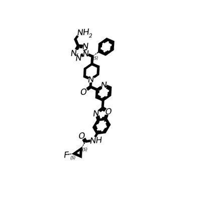 NCc1nnn([C@H](c2ccccc2)C2CCN(C(=O)c3cc(-c4nc5cc(NC(=O)[C@@H]6C[C@@H]6F)ccc5o4)ccn3)CC2)n1